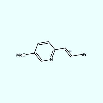 COc1ccc(/C=C/C(C)C)nc1